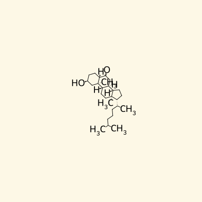 CC(C)CCCC(C)[C@H]1CC[C@H]2[C@@H]3CC(=O)[C@H]4CC[C@H](O)C[C@]4(C)[C@H]3CC[C@]12C